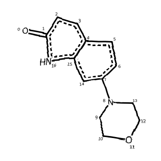 O=c1ccc2ccc(N3CCOCC3)cc2[nH]1